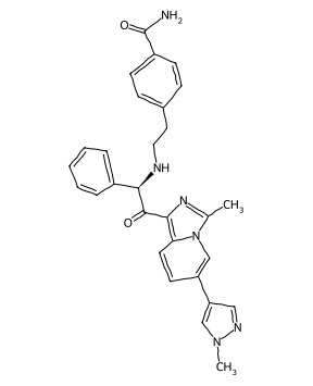 Cc1nc(C(=O)[C@H](NCCc2ccc(C(N)=O)cc2)c2ccccc2)c2ccc(-c3cnn(C)c3)cn12